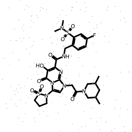 CC1CC(C)CN(C(=O)Cn2cc(N3CCCS3(=O)=O)n3c(=O)c(O)c(C(=O)NCc4ccc(F)cc4S(=O)(=O)N(C)C)nc23)C1